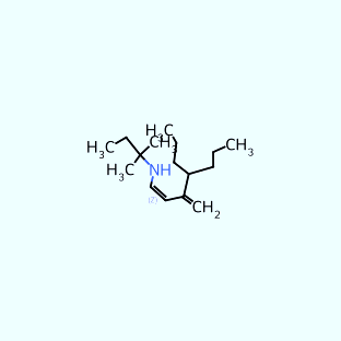 C=C(/C=C\NC(C)(C)CC)C(CCC)CCC